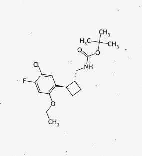 CCOc1cc(F)c(Cl)cc1[C@@H]1CC[C@H]1CNC(=O)OC(C)(C)C